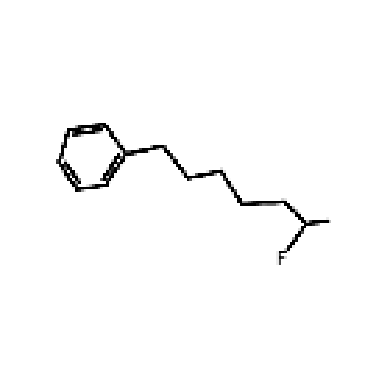 CC(F)CCCCCc1ccccc1